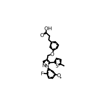 COc1ccc(F)c(-n2ncc(COc3cccc(CCC(=O)O)c3)c2-c2ccc(C)s2)c1